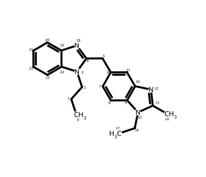 CCCn1c(Cc2ccc3c(c2)nc(C)n3CC)nc2ccccc21